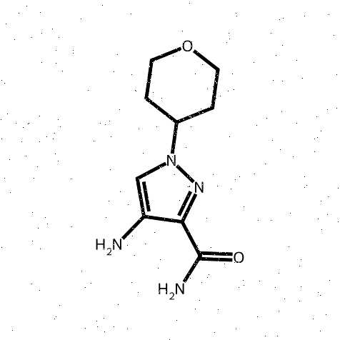 NC(=O)c1nn(C2CCOCC2)cc1N